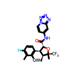 COc1c([C@H]2[C@H](C(=O)Nc3ccn4nnnc4c3)O[C@@](C)(C(F)(F)F)[C@H]2C)ccc(F)c1C